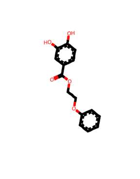 O=C(OCCOc1ccccc1)c1ccc(O)c(O)c1